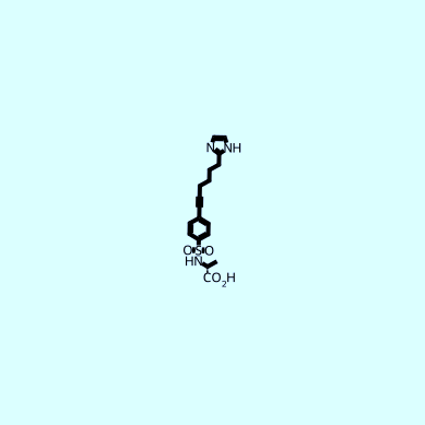 C[C@@H](NS(=O)(=O)c1ccc(C#CCCCCc2ncc[nH]2)cc1)C(=O)O